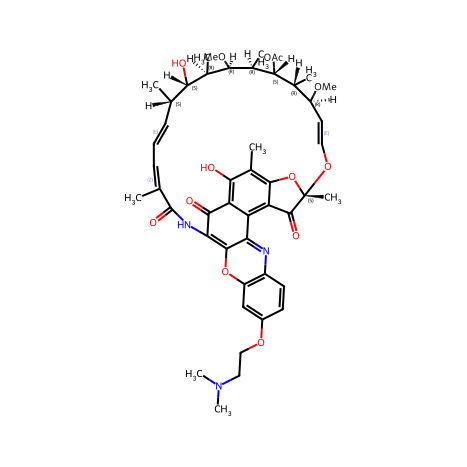 CO[C@H]1[C@@H](C)[C@H](OC(C)=O)[C@H](C)[C@@H](OC)/C=C/O[C@@]2(C)Oc3c(C)c(O)c4c(=O)c(c5oc6cc(OCCN(C)C)ccc6nc-5c4c3C2=O)NC(=O)/C(C)=C\C=C\[C@H](C)[C@H](O)[C@H]1C